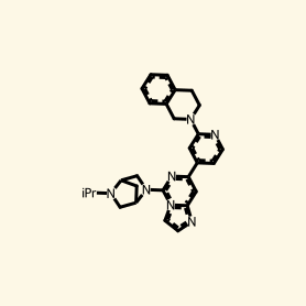 CC(C)N1CC2CC1CN2c1nc(-c2ccnc(N3CCc4ccccc4C3)c2)cc2nccn12